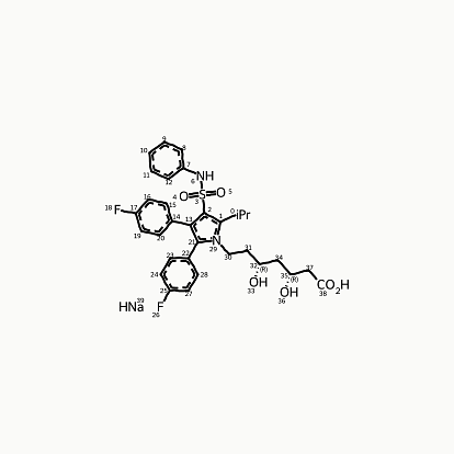 CC(C)c1c(S(=O)(=O)Nc2ccccc2)c(-c2ccc(F)cc2)c(-c2ccc(F)cc2)n1CC[C@@H](O)C[C@@H](O)CC(=O)O.[NaH]